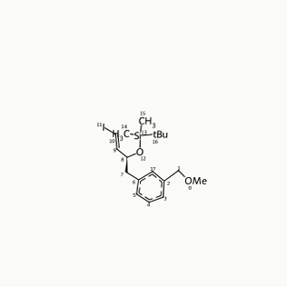 COCc1cccc(C[C@@H](/C=C/I)O[Si](C)(C)C(C)(C)C)c1